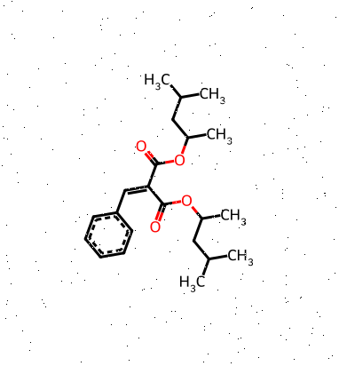 CC(C)CC(C)OC(=O)C(=Cc1ccccc1)C(=O)OC(C)CC(C)C